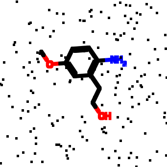 COc1ccc(N)c(CCO)c1